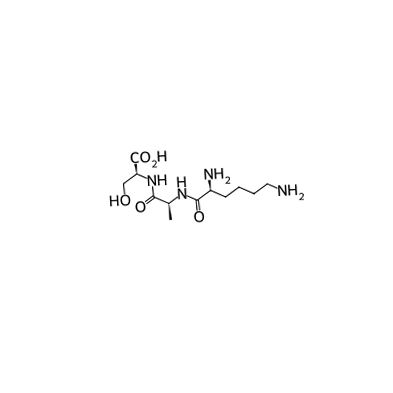 C[C@H](NC(=O)[C@@H](N)CCCCN)C(=O)N[C@@H](CO)C(=O)O